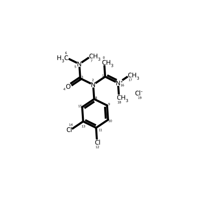 CC(N(C(=O)N(C)C)c1ccc(Cl)c(Cl)c1)=[N+](C)C.[Cl-]